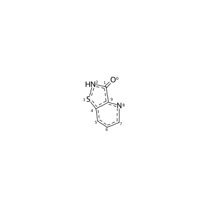 O=c1[nH]sc2cccnc12